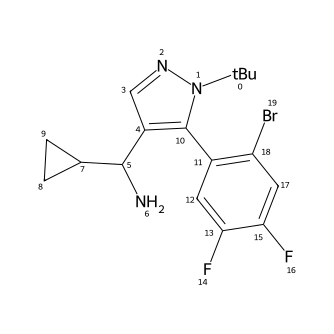 CC(C)(C)n1ncc(C(N)C2CC2)c1-c1cc(F)c(F)cc1Br